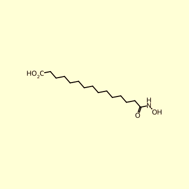 O=C(O)CCCCCCCCCCCCCC(=O)NO